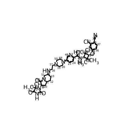 CC1(C)C(=O)NC(=O)N1C1CC2CCC(NCCN3CCN(c4ccc(C(=O)N[C@H]5C(C)(C)[C@H](Oc6ccc(C#N)c(Cl)c6)C5(C)C)nc4)CC3)CN2C1=O